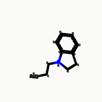 CC(=O)OCCN1CCc2ccccc21